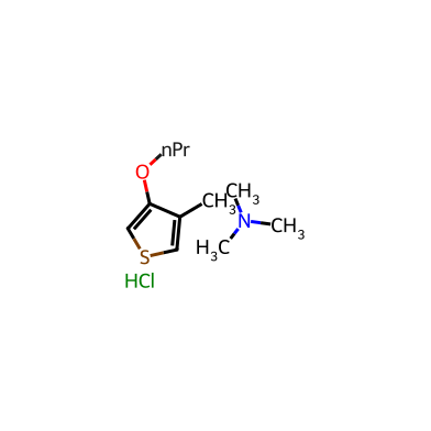 CCCOc1cscc1C.CN(C)C.Cl